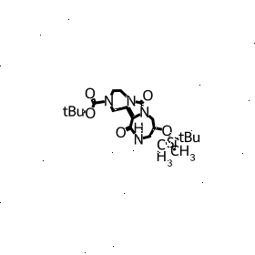 CC(C)(C)OC(=O)N1CCn2c(c3n(c2=O)CC(O[Si](C)(C)C(C)(C)C)CNC3=O)C1